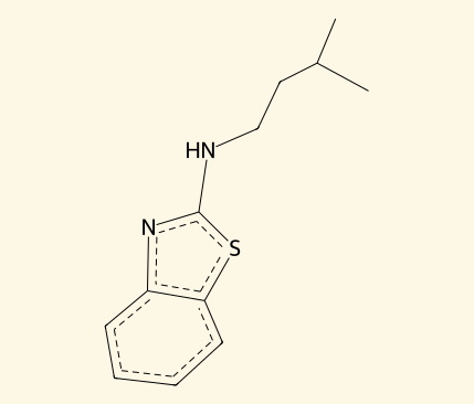 CC(C)CCNc1nc2ccccc2s1